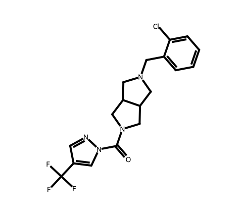 O=C(N1CC2CN(Cc3ccccc3Cl)CC2C1)n1cc(C(F)(F)F)cn1